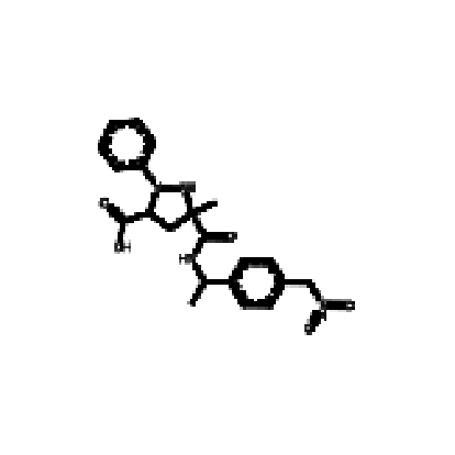 CC(NC(=O)C1(C)CC(C(=O)O)N(c2ccccc2)N1)c1ccc(C[SH](=O)=O)cc1